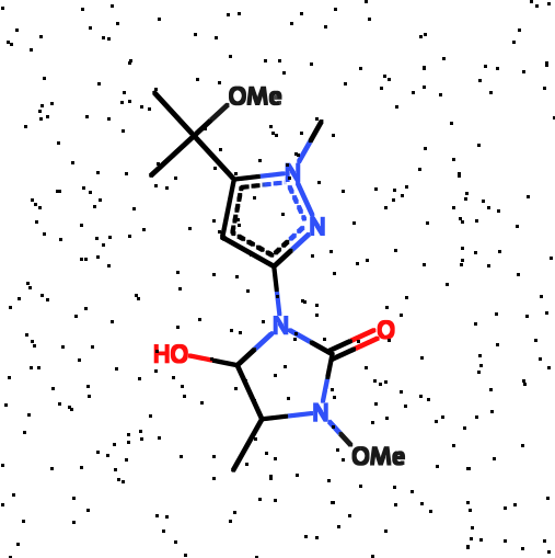 CON1C(=O)N(c2cc(C(C)(C)OC)n(C)n2)C(O)C1C